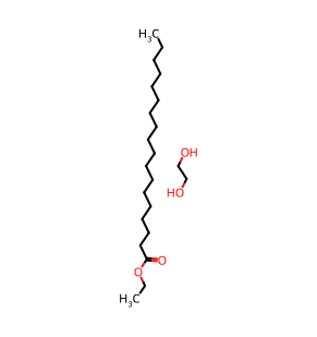 CCCCCCCCCCCCCCCCCC(=O)OCC.OCCO